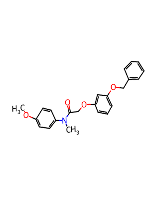 COc1ccc(N(C)C(=O)COc2cccc(OCc3ccccc3)c2)cc1